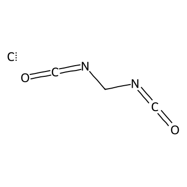 O=C=NCN=C=O.[C]